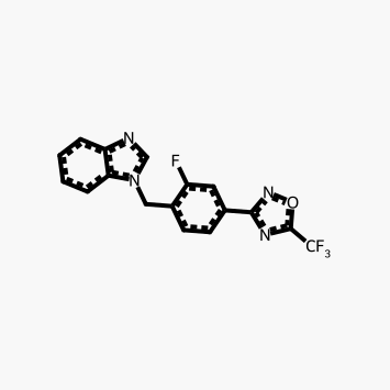 Fc1cc(-c2noc(C(F)(F)F)n2)ccc1Cn1cnc2ccccc21